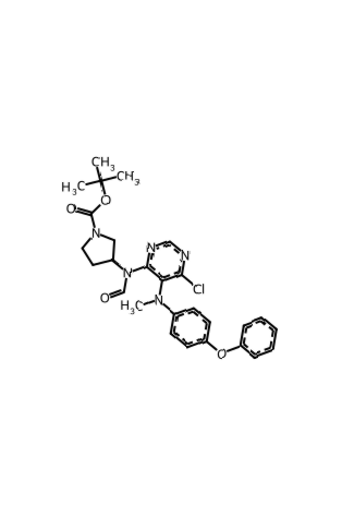 CN(c1ccc(Oc2ccccc2)cc1)c1c(Cl)ncnc1N(C=O)C1CCN(C(=O)OC(C)(C)C)C1